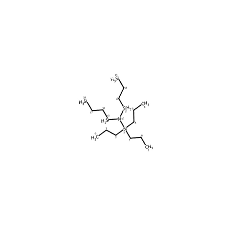 CCC[Si](CCC)(CCC)N([SiH2]CC[SiH3])[SiH2]CC[SiH3]